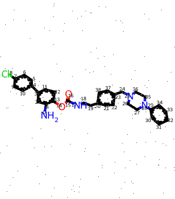 Nc1cc(-c2ccc(Cl)cc2)ccc1OC(=O)NCCc1ccc(CN2CCN(c3ccccc3)CC2)cc1